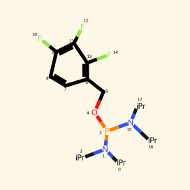 CC(C)N(C(C)C)P(OCc1ccc(F)c(F)c1F)N(C(C)C)C(C)C